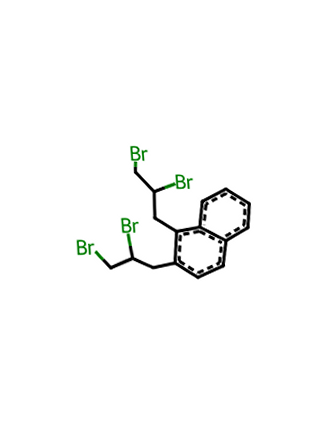 BrCC(Br)Cc1ccc2ccccc2c1CC(Br)CBr